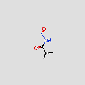 CC(C)C(=O)NN=O